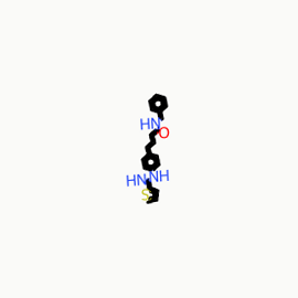 N=C(Nc1ccc(CCCC(=O)NCc2ccccc2)cc1)c1cccs1